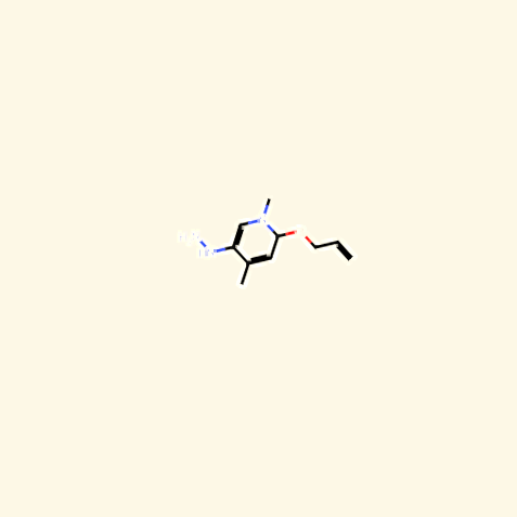 C=CCOC1C=C(C)C(NN)=CN1C